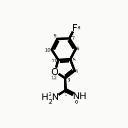 N=C(N)c1cc2cc(F)ccc2o1